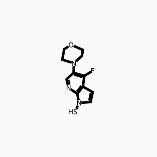 Fc1c(N2CCOCC2)cnc2c1ccn2S